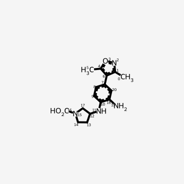 Cc1noc(C)c1-c1ccc(NC2CCN(C(=O)O)C2)c(N)c1